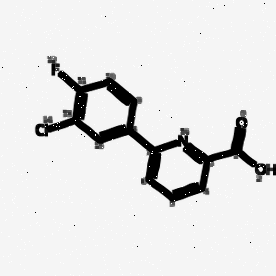 O=C(O)c1cccc(-c2ccc(F)c(Cl)c2)n1